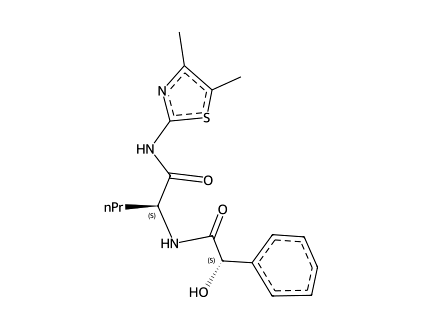 CCC[C@H](NC(=O)[C@@H](O)c1ccccc1)C(=O)Nc1nc(C)c(C)s1